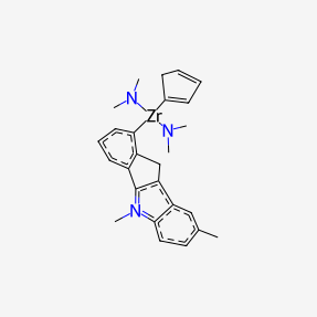 Cc1ccc2c(c1)c1c(n2C)-c2ccc[c]([Zr]([C]3=CC=CC3)([N](C)C)[N](C)C)c2C1